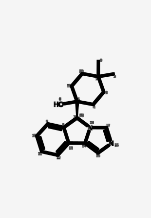 CC1(C)CCC(O)([C@@H]2c3ccccc3-c3cncn32)CC1